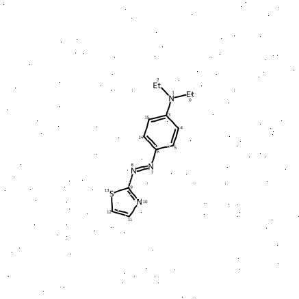 CCN(CC)c1ccc(N=Nc2nccs2)cc1